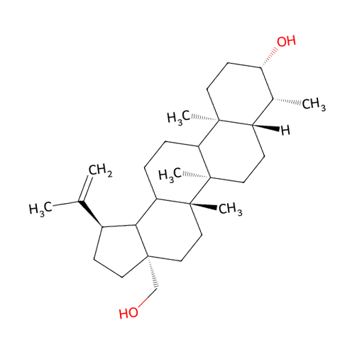 C=C(C)[C@@H]1CC[C@]2(CO)CC[C@]3(C)C(CCC4[C@@]5(C)CC[C@H](O)[C@H](C)[C@@H]5CC[C@]43C)C12